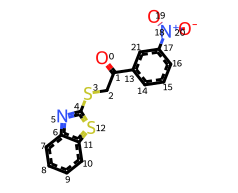 O=C(CSc1nc2ccccc2s1)c1cccc([N+](=O)[O-])c1